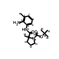 Cc1cccc(NC(=O)C2(C)CCCN2C(=O)OC(C)(C)C)c1N